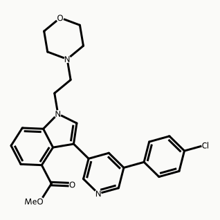 COC(=O)c1cccc2c1c(-c1cncc(-c3ccc(Cl)cc3)c1)cn2CCN1CCOCC1